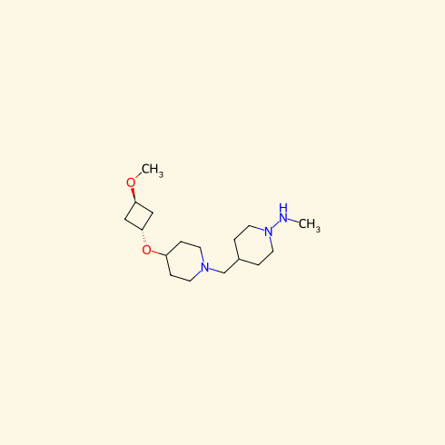 CNN1CCC(CN2CCC(O[C@H]3C[C@H](OC)C3)CC2)CC1